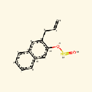 C=CCc1cc2ccccc2cc1O[SH]=O